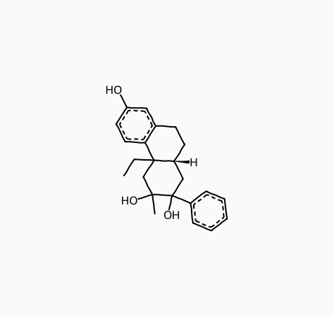 CCC12CC(C)(O)C(O)(c3ccccc3)C[C@H]1CCc1cc(O)ccc12